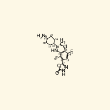 C[C@H](Nc1c(F)c(-c2n[nH]c(=O)o2)cc(F)c1Cl)C1CCC(N)CC1